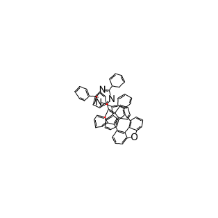 C1=CCC(c2nc(-c3ccccc3)nc(-c3c4ccccc4c(-c4cccc5oc6cccc(-c7c8ccccc8c(-c8ccccc8)c8ccccc78)c6c45)c4ccccc34)n2)C=C1